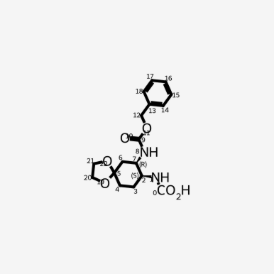 O=C(O)N[C@H]1CCC2(C[C@H]1NC(=O)OCc1ccccc1)OCCO2